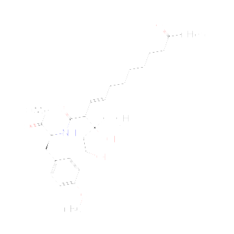 CCCCCCCC(=O)CCCCCC/C=C/C(C(=O)N[C@@H](Cc1ccc(OCCCC)cc1)C(=O)OC)C(O)(CCO)C(=O)O